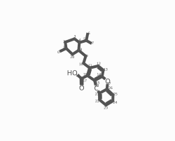 CC1CCC(C(C)C)C(CCc2ccc3c(c2C(=O)O)Cc2ccccc2O3)C1